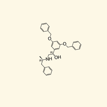 C[C@H](Cc1ccccc1)NC[C@H](O)c1cc(OCc2ccccc2)cc(OCc2ccccc2)c1